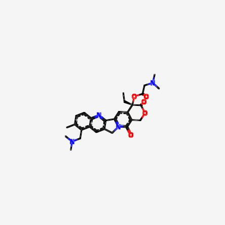 CC[C@@]1(OC(=O)CN(C)C)C(=O)OCc2c1cc1n(c2=O)Cc2cc3c(CN(C)C)c(C)ccc3nc2-1